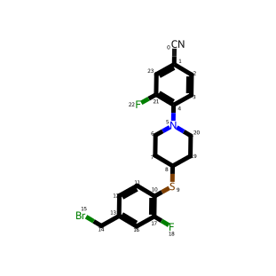 N#Cc1ccc(N2CCC(Sc3ccc(CBr)cc3F)CC2)c(F)c1